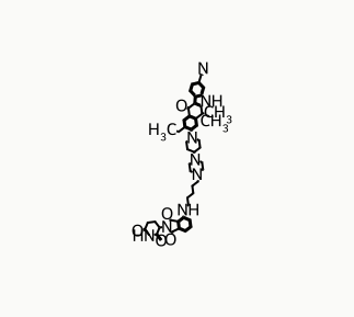 CCc1cc2c(cc1N1CCC(N3CCN(CCCCCNc4cccc5c4C(=O)N(C4CCC(=O)NC4=O)C5=O)CC3)CC1)C(C)(C)c1[nH]c3cc(C#N)ccc3c1C2=O